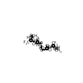 CS(=O)(=O)Nc1cc(COc2c(Cl)cc(CC(=O)OC(=O)CNC(=O)c3cc(Cl)c(OCc4cc(NS(C)(=O)=O)cc(C(F)(F)F)c4)c(Cl)c3)cc2Cl)cc(C(F)(F)F)c1